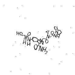 NC(=O)c1nn(CC(=O)N(CC(=O)Nc2cccc(Cl)n2)C2CC2)c2ccc(NC(=O)NCCO)cc12